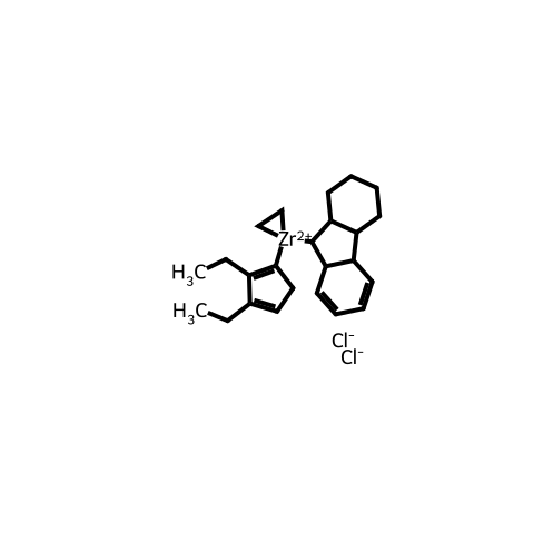 CCC1=CC[C]([Zr+2]2([CH]3C4C=CC=CC4C4CCCCC43)[CH2][CH2]2)=C1CC.[Cl-].[Cl-]